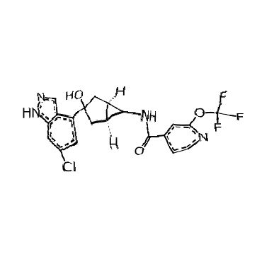 O=C(NC1[C@H]2CC(O)(c3cc(Cl)cc4[nH]ncc34)C[C@@H]12)c1ccnc(OC(F)(F)F)c1